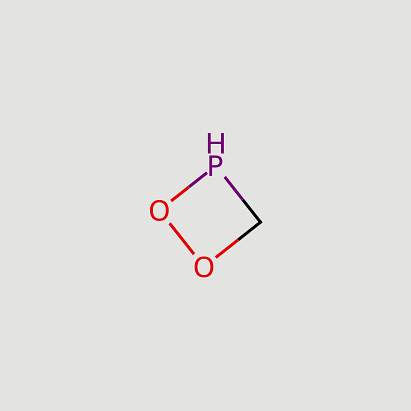 C1OOP1